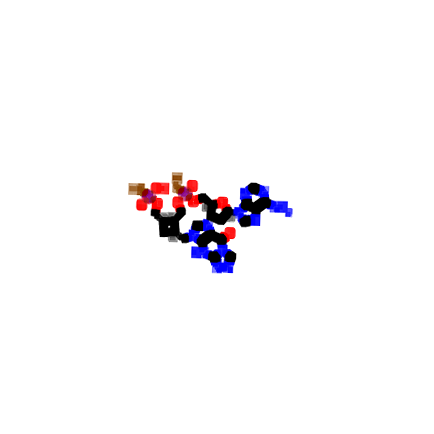 Nc1ncnc2c1ncn2[C@H]1CC[C@@H](COP(=O)(S)OC[C@@H]2[C@@H](COP(=O)(O)S)C[C@H]2Cn2cnc3c(=O)n4cnnc4[nH]c32)O1